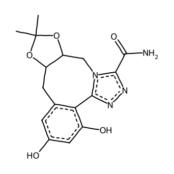 CC1(C)OC2Cc3cc(O)cc(O)c3-c3nnc(C(N)=O)n3CC2O1